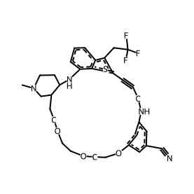 CN1CCC2Nc3cccc4c(CC(F)(F)F)c(sc34)C#CCNc3cc(C#N)cc(c3)OCCOCCOCCC2C1